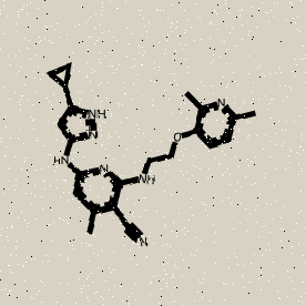 Cc1ccc(OCCNc2nc(Nc3cc(C4CC4)[nH]n3)cc(C)c2C#N)c(C)n1